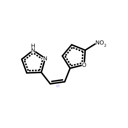 O=[N+]([O-])c1ccc(/C=C\c2cc[nH]n2)o1